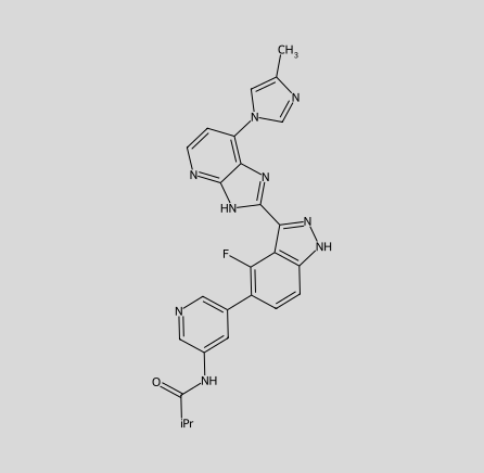 Cc1cn(-c2ccnc3[nH]c(-c4n[nH]c5ccc(-c6cncc(NC(=O)C(C)C)c6)c(F)c45)nc23)cn1